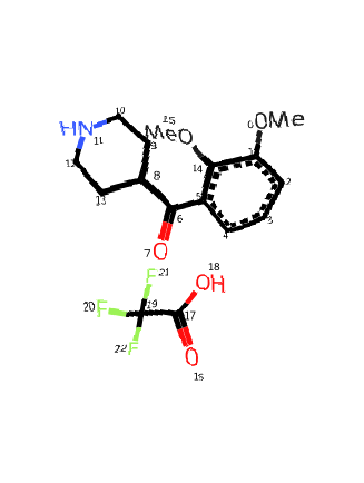 COc1cccc(C(=O)C2CCNCC2)c1OC.O=C(O)C(F)(F)F